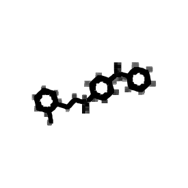 Cc1ccccc1CCNc1ccc(Nc2ccccc2)cc1